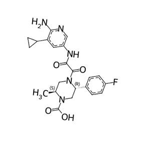 C[C@H]1CN(C(=O)C(=O)Nc2cnc(N)c(C3CC3)c2)[C@H](c2ccc(F)cc2)CN1C(=O)O